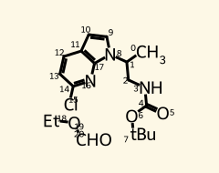 CC(CNC(=O)OC(C)(C)C)n1ccc2ccc(Cl)nc21.CCOC=O